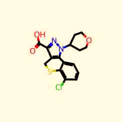 O=C(O)c1nn(C2CCOCC2)c2c1CSc1c(Cl)cccc1-2